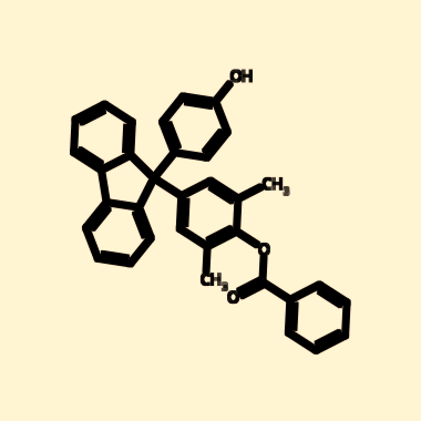 Cc1cc(C2(c3ccc(O)cc3)c3ccccc3-c3ccccc32)cc(C)c1OC(=O)c1ccccc1